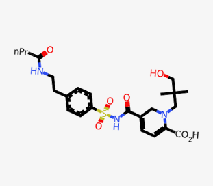 CCCC(=O)NCCc1ccc(S(=O)(=O)NC(=O)C2=CC=C(C(=O)O)N(CC(C)(C)CO)C2)cc1